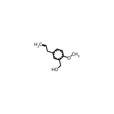 C=CCc1ccc(OC)c(CO)c1